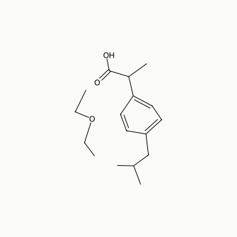 CC(C)Cc1ccc(C(C)C(=O)O)cc1.CCOCC